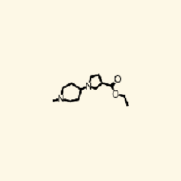 CCOC(=O)C1CCN(C2CCN(C)CC2)C1